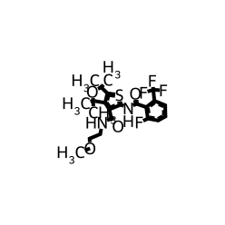 COCCNC(=O)c1c(NC(=O)c2c(F)cccc2C(F)(F)F)sc2c1C(C)(C)OC2(C)C